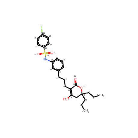 CCCC1(CCC)CC(O)=C(CCCc2cccc(NS(=O)(=O)c3ccc(F)cc3)c2)C(=O)O1